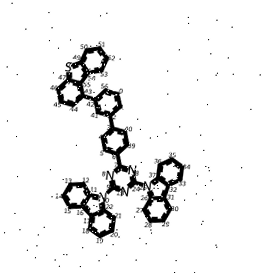 c1cc(-c2ccc(-c3nc(-n4c5ccccc5c5ccccc54)nc(-n4c5ccccc5c5ccccc54)n3)cc2)cc(-c2cccc3sc4ccccc4c23)c1